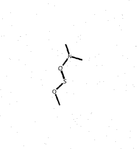 COSON(C)C